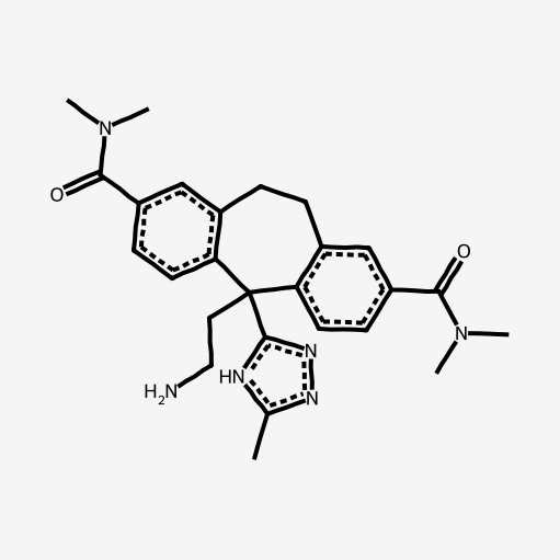 Cc1nnc(C2(CCN)c3ccc(C(=O)N(C)C)cc3CCc3cc(C(=O)N(C)C)ccc32)[nH]1